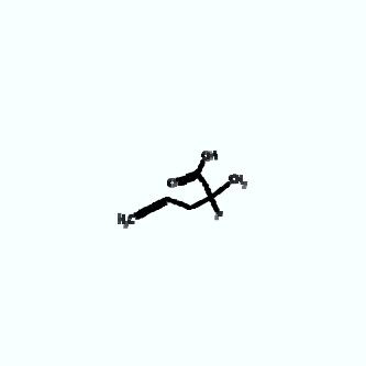 C=CCC(C)(F)C(=O)O